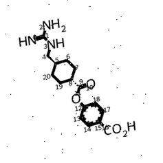 N=C(N)NC[C@H]1CC[C@H](C(=O)Oc2ccc(C(=O)O)cc2)CC1